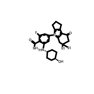 CCC1(CC)CC(=O)c2c3c(n(-c4cc(F)c(C(N)=O)c(N[C@H]5CC[C@H](O)CC5)c4)c2C1)CCC3